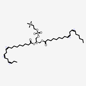 CC/C=C\C/C=C\C/C=C\CCCCCCCC(=O)O[C@H](COC(=O)CCCCCCC/C=C\C/C=C\CCCCC)COP(=O)([O-])OCC[N+](C)(C)C